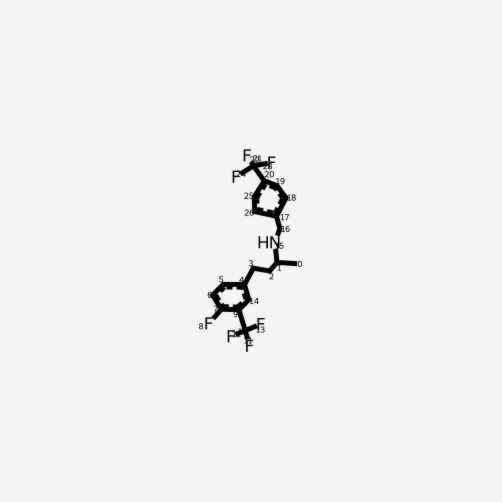 CC(CCc1ccc(F)c(C(F)(F)F)c1)NCc1ccc(C(F)(F)F)cc1